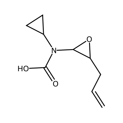 C=CCC1OC1N(C(=O)O)C1CC1